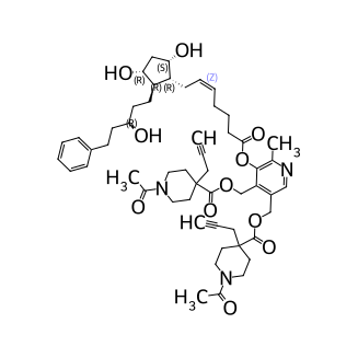 C#CCC1(C(=O)OCc2cnc(C)c(OC(=O)CCC/C=C\C[C@@H]3[C@@H](CC[C@@H](O)CCc4ccccc4)[C@H](O)C[C@@H]3O)c2COC(=O)C2(CC#C)CCN(C(C)=O)CC2)CCN(C(C)=O)CC1